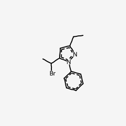 CCc1cc(C(C)Br)n(-c2ccccc2)n1